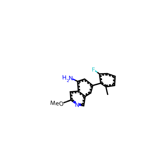 COc1cc2c(N)cc(-c3c(C)cccc3F)cc2cn1